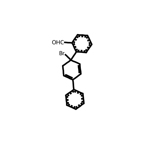 O=Cc1ccccc1C1(Br)C=CC(c2ccccc2)=CC1